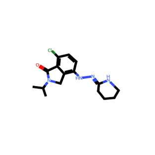 CC(C)N1Cc2c(NN=C3CCCCN3)ccc(Cl)c2C1=O